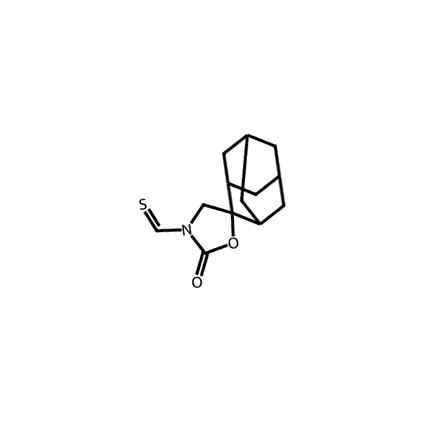 O=C1OC2(CN1C=S)C1CC3CC(C1)CC2C3